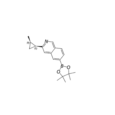 C[C@@H]1C[C@@H]1c1cc2cc(B3OC(C)(C)C(C)(C)O3)ccc2cn1